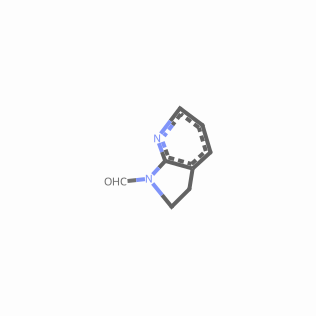 O=CN1CCc2cccnc21